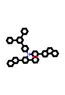 c1ccc(-c2cc(-c3ccccc3)cc(-c3ccc(N(c4ccc(-c5ccc6c(ccc7ccccc76)c5)cc4)c4cc(-c5ccc6ccccc6c5)ccc4-c4ccccc4)cc3)c2)cc1